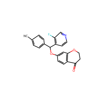 N#Cc1ccc(C(Oc2ccc3c(c2)OCCC3=O)c2ccncc2F)cc1